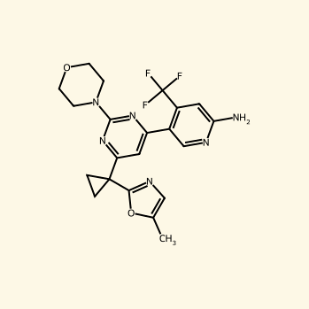 Cc1cnc(C2(c3cc(-c4cnc(N)cc4C(F)(F)F)nc(N4CCOCC4)n3)CC2)o1